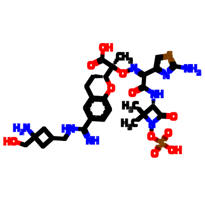 CC1(C)[C@H](NC(=O)/C(=N\O[C@](C)(C(=O)O)[C@H]2CCc3cc(C(=N)NCC4CC(N)(CO)C4)ccc3O2)c2csc(N)n2)C(=O)N1OS(=O)(=O)O